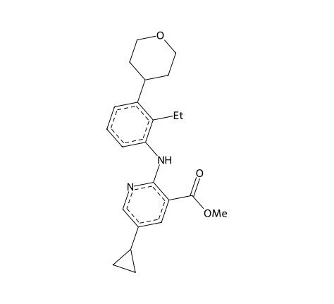 CCc1c(Nc2ncc(C3CC3)cc2C(=O)OC)cccc1C1CCOCC1